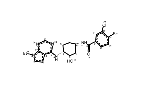 CCn1ccc2c(N[C@H]3CC[C@@H](NC(=O)c4ccc(F)c(Cl)c4)CC3)ncnc21.Cl